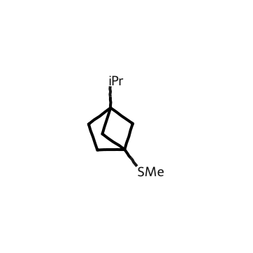 CSC12CCC(C(C)C)(C1)C2